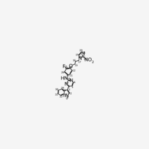 Cn1cc(-c2ccnc(Nc3ccc(OCCCn4ccnc4[N+](=O)[O-])c(F)c3)n2)c2ccccc21